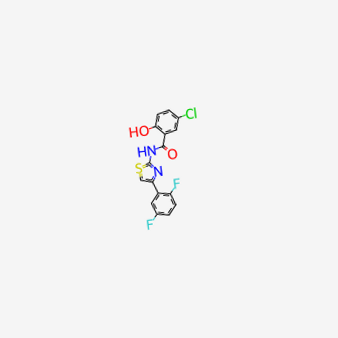 O=C(Nc1nc(-c2cc(F)ccc2F)cs1)c1cc(Cl)ccc1O